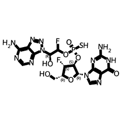 Nc1nc2c(ncn2[C@@H]2O[C@H](CO)[C@H](F)[C@H]2OP(=O)(S)OC(F)[C@@H](O)n2nnc3c(N)ncnc32)c(=O)[nH]1